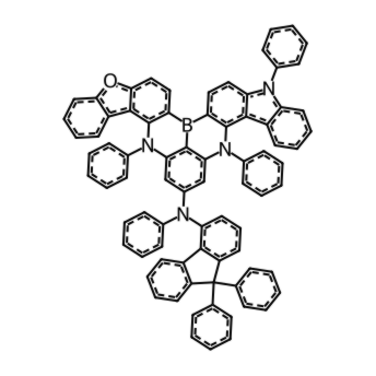 c1ccc(N(c2cc3c4c(c2)N(c2ccccc2)c2c(ccc5c2c2ccccc2n5-c2ccccc2)B4c2ccc4oc5ccccc5c4c2N3c2ccccc2)c2cccc3c2-c2ccccc2C3(c2ccccc2)c2ccccc2)cc1